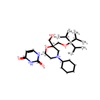 CC(C)[Si](OC[C@@]1(CO)CN(C2CCCCC2)C[C@H](n2ccc(=O)[nH]c2=O)O1)(C(C)C)C(C)C